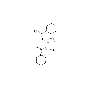 CC(O[C@H](C)[C@H](N)C(=O)N1CCCCC1)C1CCCCC1